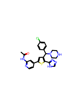 CC(=O)Nc1cc(-c2cc(C(c3ccc(Cl)cc3)N3CCNCC3)c(-c3nnc[nH]3)s2)ccn1